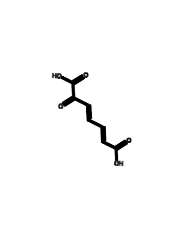 O=C(O)/C=C/C=C/C(=O)C(=O)O